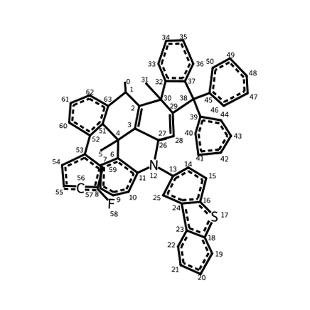 CC1C2=C3C(C)(c4ccccc4N(c4ccc5sc6ccccc6c5c4)C3(C)C=C3C2(C)c2ccccc2C3(c2ccccc2)c2ccccc2)c2c(-c3cccc(F)c3)cccc21